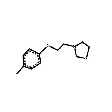 Cc1ccc(OCCN2CCSC2)cc1